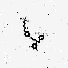 Cc1ccc(/C=C(\CCCOc2ccc(CNCCCP(=O)(O)O)cc2)c2cc(F)cc(F)c2)cc1C